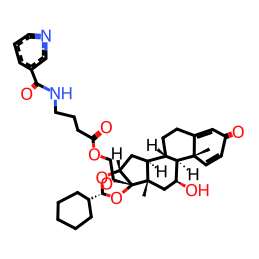 C[C@]12C=CC(=O)C=C1CC[C@@H]1[C@@H]2[C@@H](O)C[C@@]2(C)[C@H]1C[C@H]1O[C@@H](C3CCCCC3)O[C@]12C(=O)COC(=O)CCCNC(=O)c1cccnc1